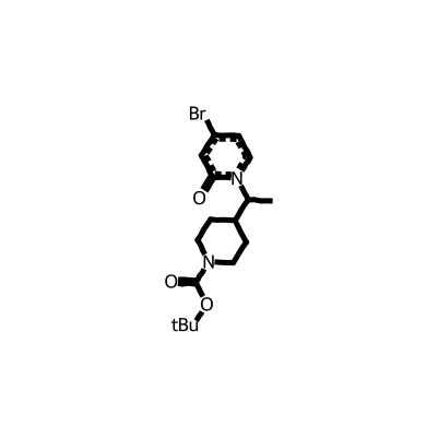 CC(C1CCN(C(=O)OC(C)(C)C)CC1)n1ccc(Br)cc1=O